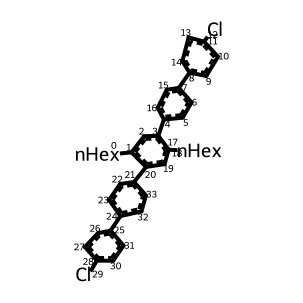 CCCCCCc1cc(-c2ccc(-c3ccc(Cl)cc3)cc2)c(CCCCCC)cc1-c1ccc(-c2ccc(Cl)cc2)cc1